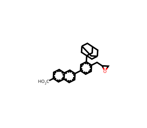 O=C(O)c1ccc2cc(-c3ccc(CC4CO4)c(C45CC6CC(CC(C6)C4)C5)c3)ccc2c1